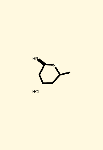 CC1CCCC(=N)N1.Cl